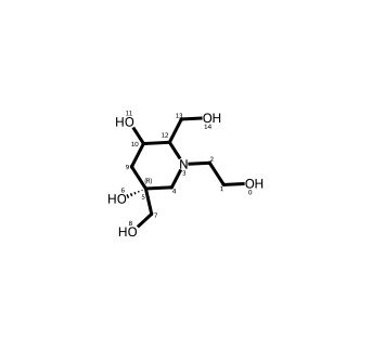 OCCN1C[C@@](O)(CO)CC(O)C1CO